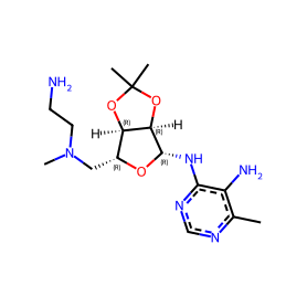 Cc1ncnc(N[C@@H]2O[C@H](CN(C)CCN)[C@H]3OC(C)(C)O[C@H]32)c1N